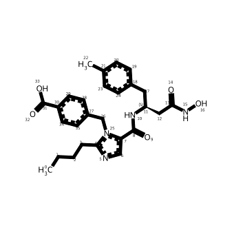 CCCCc1ncc(C(=O)N[C@H](CC(=O)NO)Cc2ccc(C)cc2)n1Cc1ccc(C(=O)O)cc1